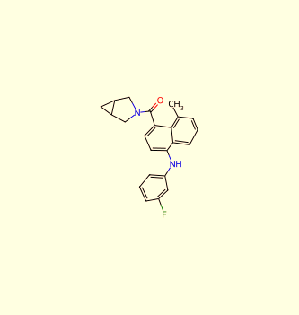 Cc1cccc2c(Nc3cccc(F)c3)ccc(C(=O)N3CC4CC4C3)c12